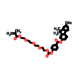 C=C(C)C(=O)OCCOCCOCCOCCOC(=O)Oc1ccc(C(=O)Oc2ccc3c(c2)C(C)(C)c2cc(OC(C)=O)ccc2-3)cc1